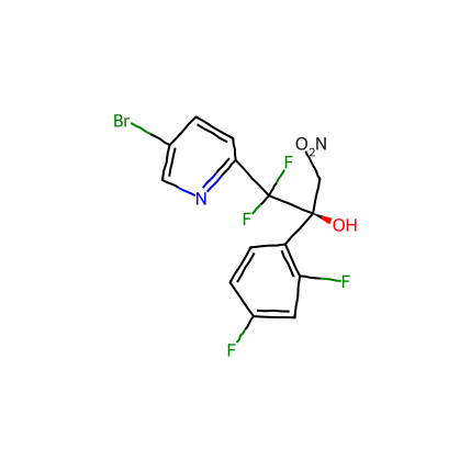 O=[N+]([O-])C[C@](O)(c1ccc(F)cc1F)C(F)(F)c1ccc(Br)cn1